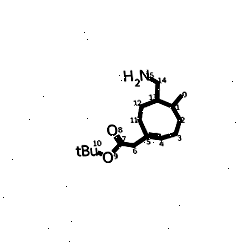 CC1CC/C=C(/CC(=O)OC(C)(C)C)CCC1CN